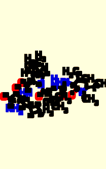 C=CCN(C)C(=O)[C@@H](NC(=O)N[C@H](C(=O)N1C[C@H]2[C@@H]([C@H]1C(=O)N[C@@H](CC1CCC1)C(=O)C(N)=O)C2(C)C)C(C)(C)C)C(C)C